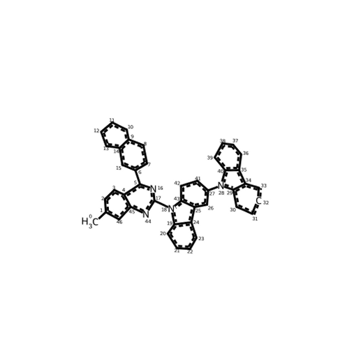 Cc1ccc2c(-c3ccc4ccccc4c3)nc(-n3c4ccccc4c4cc(-n5c6ccccc6c6ccccc65)ccc43)nc2c1